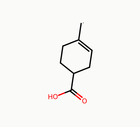 [CH2]C1=CCC(C(=O)O)CC1